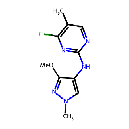 COc1nn(C)cc1Nc1ncc(C)c(Cl)n1